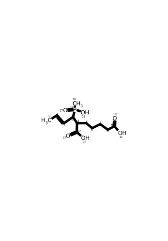 CC=CC(C(CCCCC(=O)O)C(=O)O)P(C)(=O)O